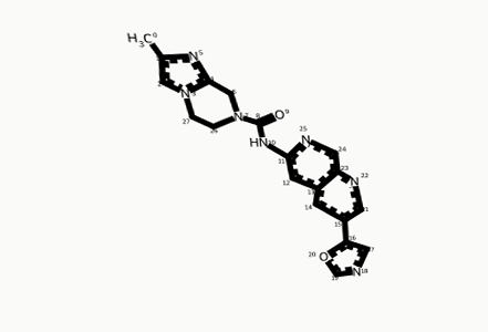 Cc1cn2c(n1)CN(C(=O)Nc1cc3cc(-c4cnco4)cnc3cn1)CC2